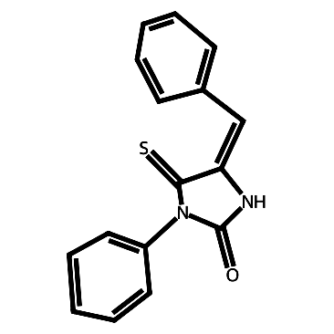 O=C1NC(=Cc2ccccc2)C(=S)N1c1ccccc1